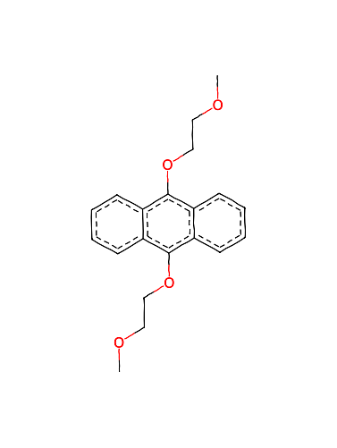 COCCOc1c2ccccc2c(OCCOC)c2ccccc12